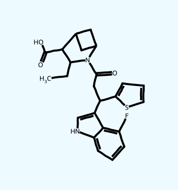 CCC1C(C(=O)O)C2CC(C2)N1C(=O)CC(c1cccs1)c1c[nH]c2cccc(F)c12